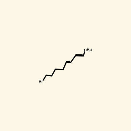 CCCC/C=C/C=C/CCCCBr